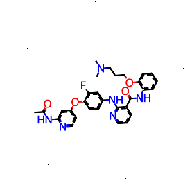 CC(=O)Nc1cc(Oc2ccc(Nc3ncccc3C(=O)Nc3ccccc3OCCCN(C)C)cc2F)ccn1